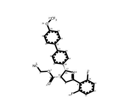 N#CCOC(=O)[C@H]1CC(c2c(F)cccc2F)=N[C@H]1c1ccc(-c2ccc(OC(F)(F)F)cc2)cc1